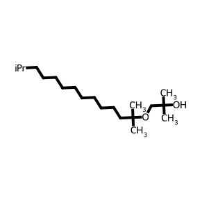 CC(C)CCCCCCCCCCC(C)(C)OCC(C)(C)O